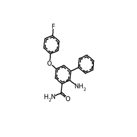 NC(=O)c1cc(Oc2ccc(F)cc2)cc(-c2ccccc2)c1N